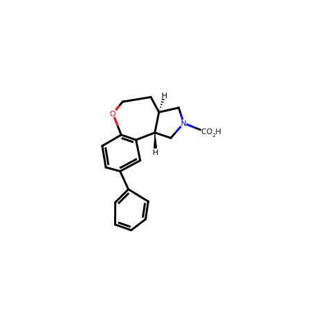 O=C(O)N1C[C@@H]2CCOc3ccc(-c4ccccc4)cc3[C@H]2C1